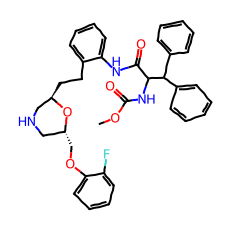 COC(=O)NC(C(=O)Nc1ccccc1CC[C@@H]1CNC[C@@H](COc2ccccc2F)O1)C(c1ccccc1)c1ccccc1